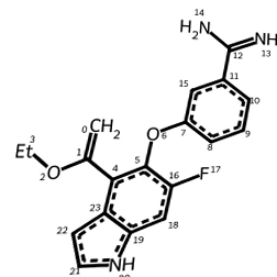 C=C(OCC)c1c(Oc2cccc(C(=N)N)c2)c(F)cc2[nH]ccc12